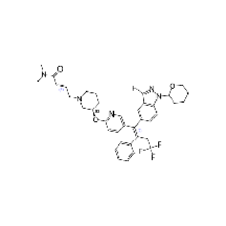 CN(C)C(=O)/C=C/CN1CCC[C@@H](Oc2ccc(/C(=C(/CC(F)(F)F)c3ccccc3)c3ccc4c(c3)c(F)nn4C3CCCCO3)cn2)C1